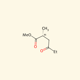 CCC(=O)C[C@@H](C)C(=O)OC